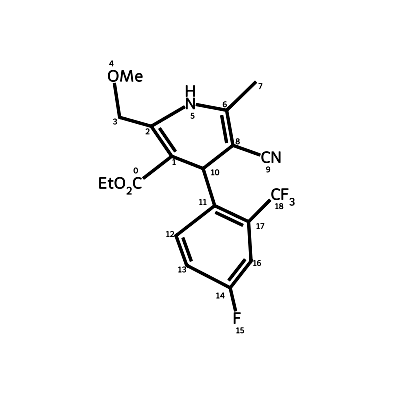 CCOC(=O)C1=C(COC)NC(C)=C(C#N)C1c1ccc(F)cc1C(F)(F)F